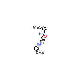 COc1cccc(CNC(=O)C[Se]CC(=O)NCc2cccc(OC)c2)c1